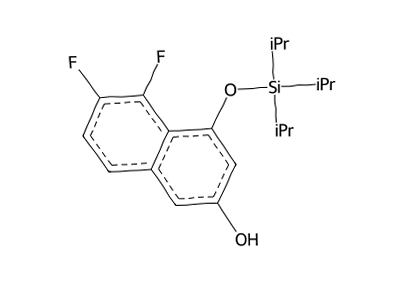 CC(C)[Si](Oc1cc(O)cc2ccc(F)c(F)c12)(C(C)C)C(C)C